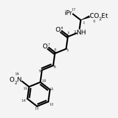 CCOC(=O)[C@@H](NC(=O)CC(=O)C=Cc1ccccc1[N+](=O)[O-])C(C)C